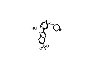 CS(=O)(=O)C1=CCC2=NC(c3cc(OC4CCNCC4)ncn3)=CC2=C1.Cl